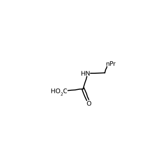 CCCCNC(=O)C(=O)O